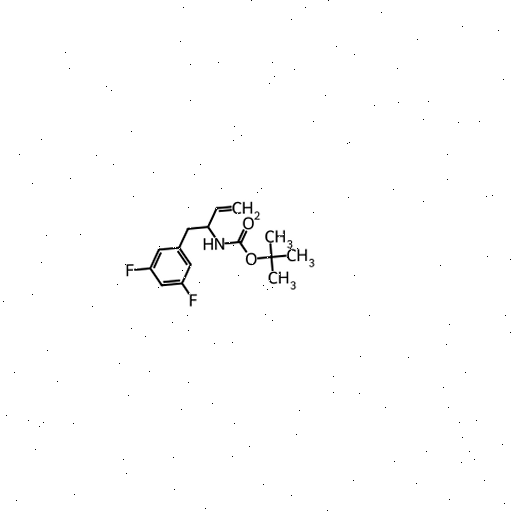 C=CC(Cc1cc(F)cc(F)c1)NC(=O)OC(C)(C)C